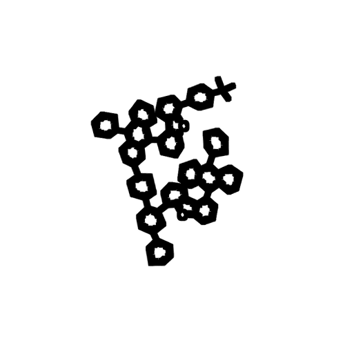 CC(C)(C)c1ccc(-c2cccc3c2oc2cccc(-c4c5ccccc5c(-c5ccccc5)c5ccc(-c6ccc(-c7ccc(-c8ccccc8)cc7-c7cccc8c7oc7cccc(-c9c%10ccccc%10c(-c%10ccccc%10)c%10ccccc9%10)c78)cc6)cc45)c23)cc1